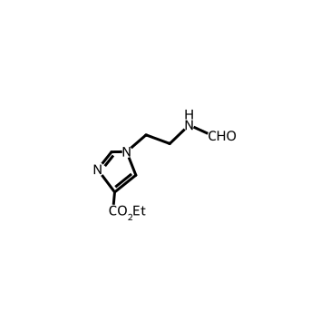 CCOC(=O)c1cn(CCNC=O)cn1